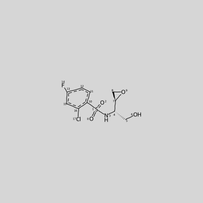 O=S(=O)(N[C@@H](CO)[C@H]1CO1)c1ccc(F)cc1Cl